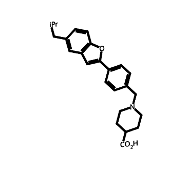 CC(C)Cc1ccc2oc(-c3ccc(CN4CCC(C(=O)O)CC4)cc3)cc2c1